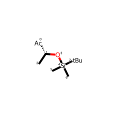 CC(=O)[C@@H](C)O[Si](C)(C)C(C)(C)C